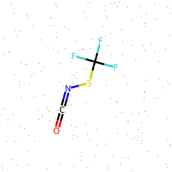 O=C=NSC(F)(F)F